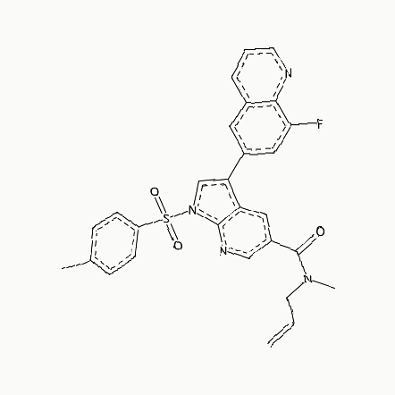 C=CCN(C)C(=O)c1cnc2c(c1)c(-c1cc(F)c3ncccc3c1)cn2S(=O)(=O)c1ccc(C)cc1